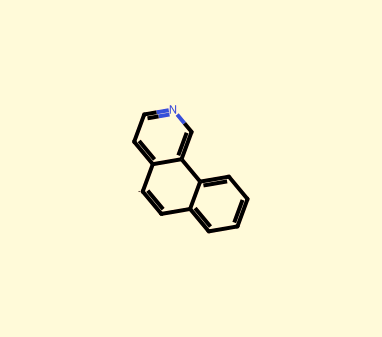 [c]1cc2ccccc2c2cnccc12